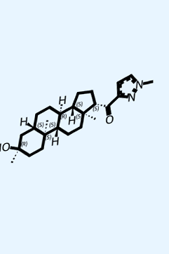 Cn1ccc(C(=O)[C@H]2CC[C@H]3[C@@H]4CC[C@H]5C[C@](C)(O)CC[C@]5(C)[C@H]4CC[C@]23C)n1